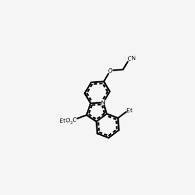 CCOC(=O)c1c2cccc(CC)c2n2cc(OCC#N)ccc12